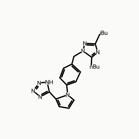 CCCCc1nc(C(C)CC)nn1Cc1ccc(-n2cccc2-c2nnn[nH]2)cc1